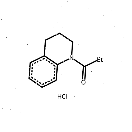 CCC(=O)N1CCCc2ccccc21.Cl